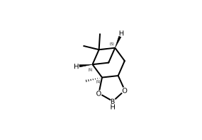 CC1(C)[C@@H]2CC3OBO[C@@]3(C)[C@H]1C2